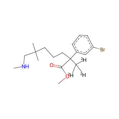 [2H]C([2H])([2H])C(CCCC(C)(C)CNC)(C(=O)OC)c1cccc(Br)c1